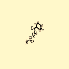 C=CC(=O)OCOOC(=O)c1ccccc1